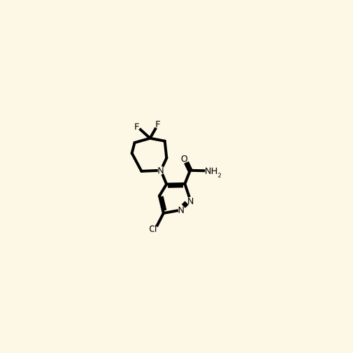 NC(=O)c1nnc(Cl)cc1N1CCCC(F)(F)CC1